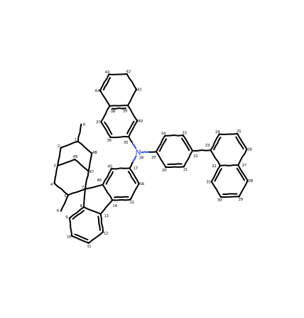 CC1CC2CC(C)C3(c4ccccc4-c4ccc(N(c5ccc(-c6cccc7ccccc67)cc5)c5ccc6c(c5)CCC=C6)cc43)C(C1)C2